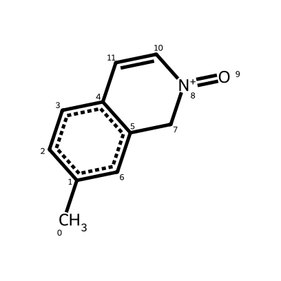 Cc1ccc2c(c1)C[N+](=O)C=C2